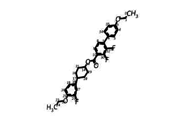 CCOc1ccc(-c2ccc(C(=O)OC3CCC(c4ccc(OCC)c(F)c4)CC3)c(F)c2F)cc1